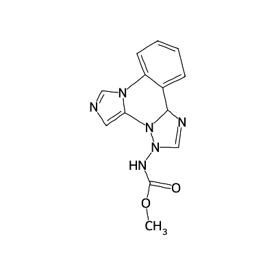 COC(=O)NN1C=NC2c3ccccc3-n3cncc3N21